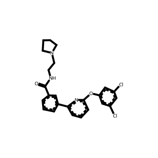 O=C(NCCN1CCCC1)c1cccc(-c2cccc(Oc3cc(Cl)cc(Cl)c3)n2)c1